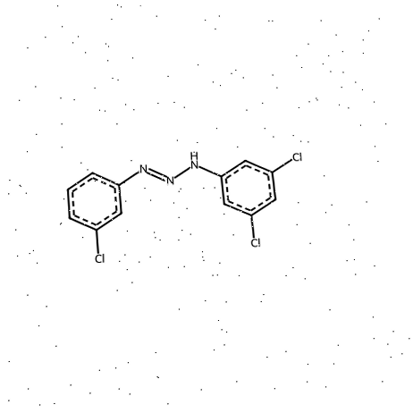 Clc1cccc(/N=N/Nc2cc(Cl)cc(Cl)c2)c1